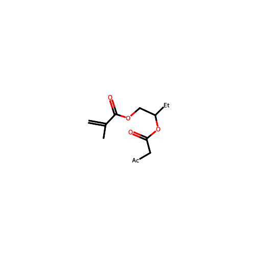 C=C(C)C(=O)OCC(CC)OC(=O)CC(C)=O